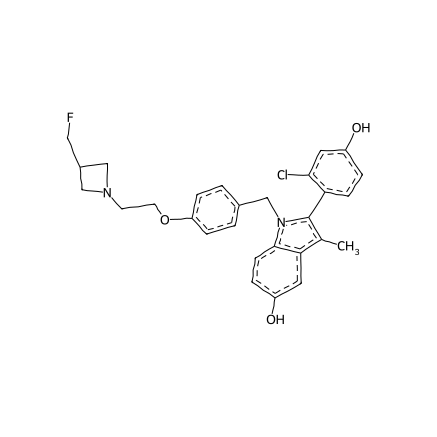 Cc1c(-c2ccc(O)cc2Cl)n(Cc2ccc(OCCN3CC(CF)C3)cc2)c2ccc(O)cc12